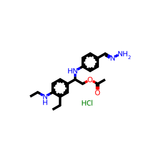 CCNc1ccc(C(COC(C)=O)Nc2ccc(C=NN)cc2)cc1CC.Cl